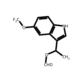 CC(OC=O)c1c[nH]c2ccc(OC(F)(F)F)cc12